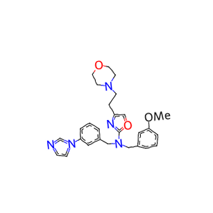 COc1cccc(CN(Cc2cccc(-n3ccnc3)c2)c2nc(CCN3CCOCC3)co2)c1